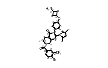 Cc1cc(C)n(-c2nc3c(c(=O)n2-c2ccc(O[C@H]4C[C@@H](N)C4)nc2)C[C@@H](C)N(C(=O)c2ccc(Br)c(C(F)(F)F)c2)C3)n1